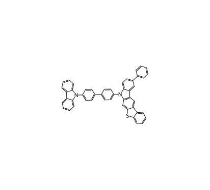 c1ccc(-c2ccc3c(c2)c2cc4c(cc2n3-c2ccc(-c3ccc(-n5c6ccccc6c6ccccc65)cc3)cc2)sc2ccccc24)cc1